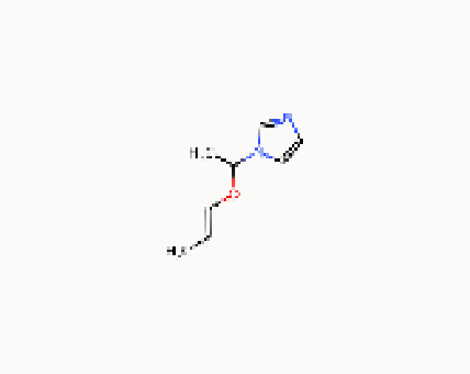 CC=COC(C)n1ccnc1